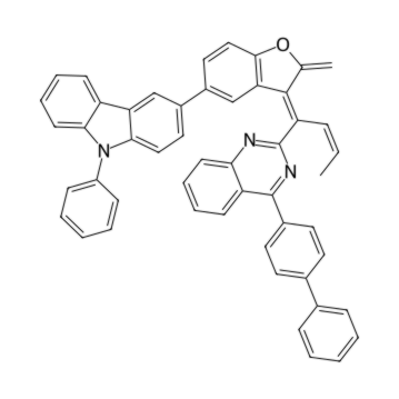 C=c1oc2ccc(-c3ccc4c(c3)c3ccccc3n4-c3ccccc3)cc2/c1=C(/C=C\C)c1nc(-c2ccc(-c3ccccc3)cc2)c2ccccc2n1